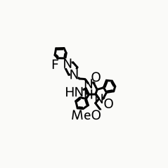 COCCN1C(=O)c2ccccc2C(C(=O)NCCN2CCN(c3ccccc3F)CC2)C1c1c[nH]c2ccccc12